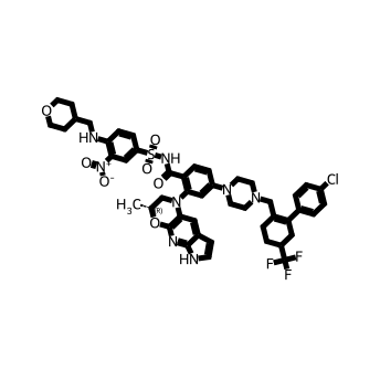 C[C@@H]1CN(c2cc(N3CCN(CC4=C(c5ccc(Cl)cc5)CC(C(F)(F)F)CC4)CC3)ccc2C(=O)NS(=O)(=O)c2ccc(NCC3CCOCC3)c([N+](=O)[O-])c2)c2cc3cc[nH]c3nc2O1